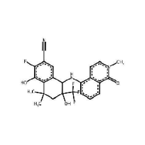 Cn1ccc2c(NC3c4cc(C#N)c(F)c(O)c4C(C)(C)CC3(O)C(F)(F)F)cccc2c1=O